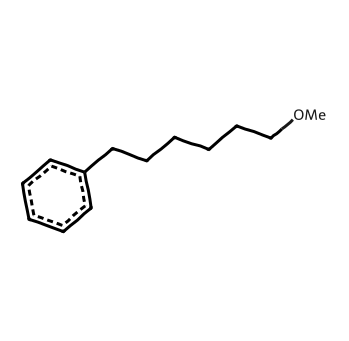 COCCCCCCc1ccccc1